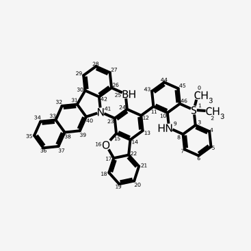 CS1(C)c2ccccc2Nc2c(-c3cc4c(oc5ccccc54)c4c3Bc3cccc5c6cc7ccccc7cc6n-4c35)cccc21